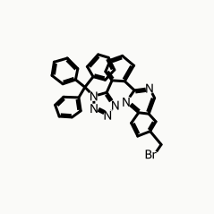 BrCc1ccc2nc(-c3ccccc3-c3nnnn3C(c3ccccc3)(c3ccccc3)c3ccccc3)ncc2c1